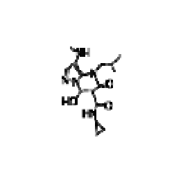 CNc1cnn2c(O)c(C(=O)NC3CC3)c(=O)n(CC(C)C)c12